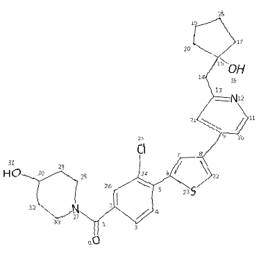 O=C(c1ccc(-c2cc(-c3ccnc(CC4(O)CCCC4)c3)cs2)c(Cl)c1)N1CCC(O)CC1